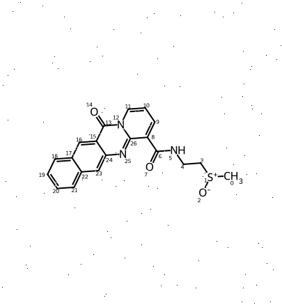 C[S+]([O-])CCNC(=O)c1cccn2c(=O)c3cc4ccccc4cc3nc12